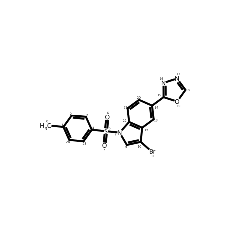 Cc1ccc(S(=O)(=O)n2cc(Br)c3cc(-c4nnco4)ccc32)cc1